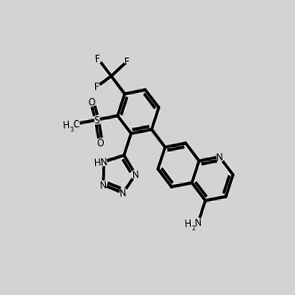 CS(=O)(=O)c1c(C(F)(F)F)ccc(-c2ccc3c(N)ccnc3c2)c1-c1nnn[nH]1